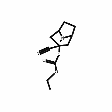 CCOC(=O)CC1(C#N)CC2CCC(C1)N2C